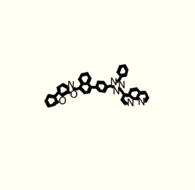 c1ccc(-c2nc(-c3ccc(-c4ccc(-c5nc6ccc7c8ccccc8oc7c6o5)c5ccccc45)cc3)nc(-c3ccnc4c3ccc3cccnc34)n2)cc1